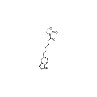 O=C(CCCCCc1ccc2[nH]ccc2c1)N1CCOC1=O